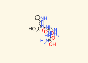 NC(=O)C[C@H](NC(=O)N[C@@H](Cc1c[nH]c2ccccc12)C(=O)O)C(=O)NNC(=O)[C@@H](N)CO